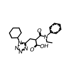 CCN(C(=O)C(Cc1nnnn1C1CCCCC1)C(=O)O)c1ccccc1